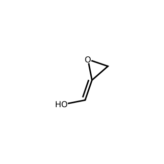 OC=C1CO1